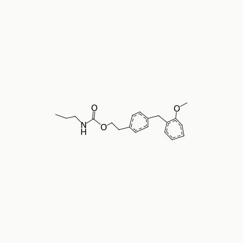 CCCNC(=O)OCCc1ccc(Cc2ccccc2OC)cc1